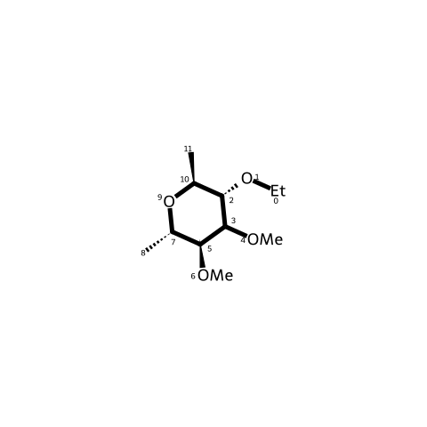 CCO[C@@H]1C(OC)[C@@H](OC)[C@H](C)O[C@H]1C